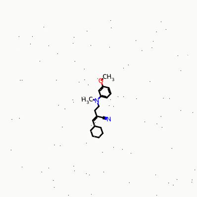 COc1cccc(N(C)CCC(C#N)=CC2CCCCC2)c1